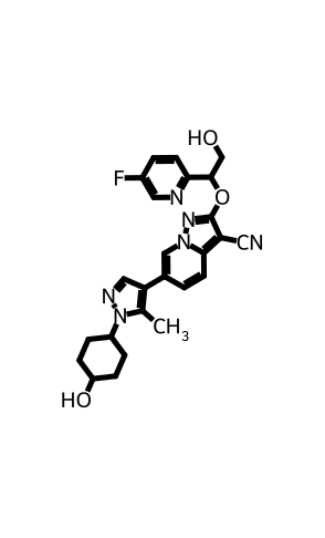 Cc1c(-c2ccc3c(C#N)c(OC(CO)c4ccc(F)cn4)nn3c2)cnn1C1CCC(O)CC1